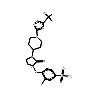 CS(=O)(=O)c1ccc(O[C@H]2CCN(C3CCN(c4noc(C(F)(F)F)n4)CC3)C2=O)c(F)c1